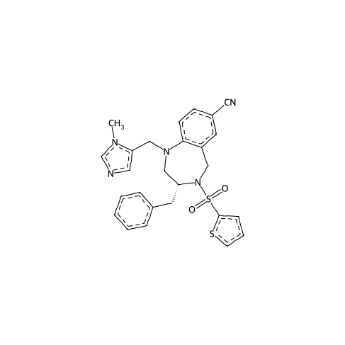 Cn1cncc1CN1C[C@@H](Cc2ccccc2)N(S(=O)(=O)c2cccs2)Cc2cc(C#N)ccc21